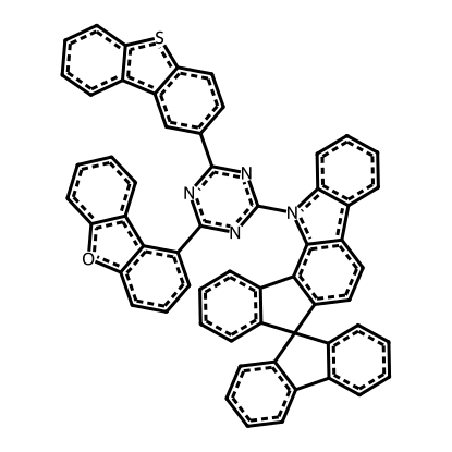 c1ccc2c(c1)-c1ccccc1C21c2ccccc2-c2c1ccc1c3ccccc3n(-c3nc(-c4ccc5sc6ccccc6c5c4)nc(-c4cccc5oc6ccccc6c45)n3)c21